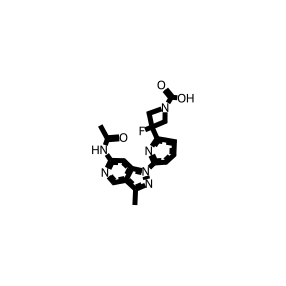 CC(=O)Nc1cc2c(cn1)c(C)nn2-c1cccc(C2(F)CN(C(=O)O)C2)n1